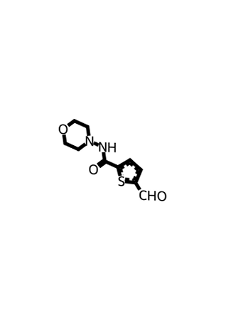 O=Cc1ccc(C(=O)NN2CCOCC2)s1